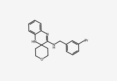 CC(C)c1cccc(CNC2=Nc3ccccc3NC23CCOCC3)c1